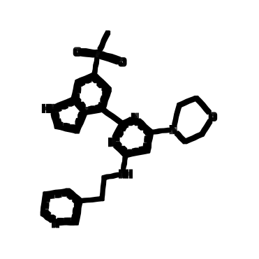 CS(=O)(=O)c1cc(-c2nc(NCCc3cccnc3)cc(N3CCOCC3)n2)c2cc[nH]c2c1